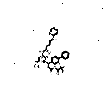 CSCC[C@@H](NC(=O)CCCNc1ccccn1)C(=O)NC(CC(=O)OC(=O)C(F)(F)F)c1ccc(-c2ccccc2)cc1